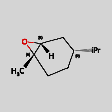 CC(C)[C@@H]1CC[C@]2(C)O[C@@H]2C1